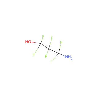 NC(F)(F)C(F)(F)C(O)(F)F